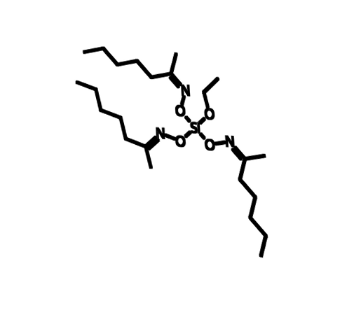 CCCCCC(C)=NO[Si](OCC)(ON=C(C)CCCCC)ON=C(C)CCCCC